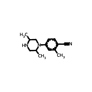 Cc1cc(N2CC(C)NCC2C)ccc1C#N